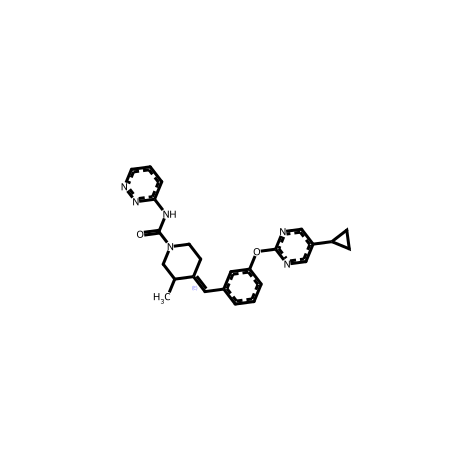 CC1CN(C(=O)Nc2cccnn2)CC/C1=C\c1cccc(Oc2ncc(C3CC3)cn2)c1